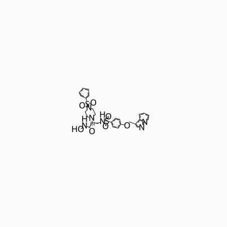 O=C(NO)[C@H](CNS(=O)(=O)c1ccc(OCc2cnn3ccccc23)cc1)N1CCN(S(=O)(=O)c2ccccc2)CC1